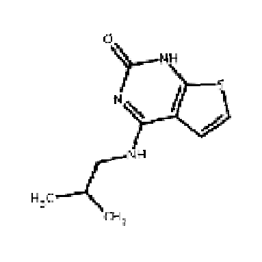 CC(C)CNc1nc(=O)[nH]c2sccc12